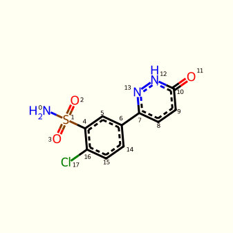 NS(=O)(=O)c1cc(-c2ccc(=O)[nH]n2)ccc1Cl